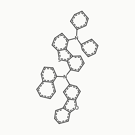 c1ccc(N(c2ccccc2)c2cccc3sc4c(N(c5ccc6oc7ccccc7c6c5)c5cccc6ccccc56)cccc4c23)cc1